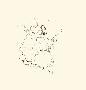 CC(=O)NCCCCC(NC(=O)C1(NC(=O)C(Cc2ccc3ccccc3c2)NC(=O)C(Cc2ccc(OCCN)cc2)NC(=O)C2NC(=O)C(CCC(N)=O)NC(=O)C(Cc3c[nH]c4ccccc34)NC(=O)C(C(C)O)NC(=O)C(CC(N)=O)NC(=O)C(NC(C)=O)C(C)(C)SSC2(C)C)CCOCC1)C(=O)NC(CC(N)=O)C(=O)NC(CC(N)=O)C(=O)NC(CCCCNC1CCC(C2CCCCCC2)CC1)C(N)=O